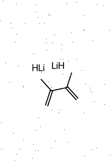 C=C(C)C(=C)C.[LiH].[LiH]